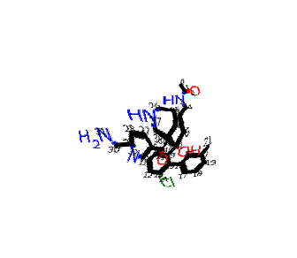 CC(=O)NCCC[C@](O)(c1cccc(Cl)c1-c1cccc(C)c1)[C@@]1(C(=O)c2ccc(CN)nc2)CCCNC1